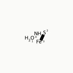 N.O.[S]=[Fe]